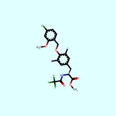 COC(=O)[C@H](Cc1cc(I)c(OCc2ccc(Cl)cc2OC)c(I)c1)NC(=O)C(F)(F)F